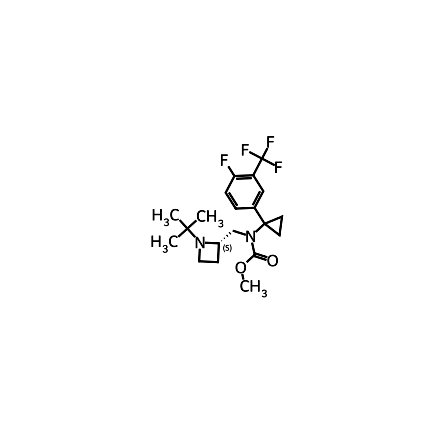 COC(=O)N(C[C@@H]1CCN1C(C)(C)C)C1(c2ccc(F)c(C(F)(F)F)c2)CC1